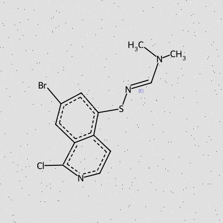 CN(C)/C=N/Sc1cc(Br)cc2c(Cl)nccc12